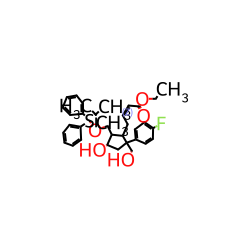 CCOC(=O)/C=C\CC1C(CO[Si](c2ccccc2)(c2ccccc2)C(C)(C)C)C(O)CC1(CO)c1ccc(F)cc1